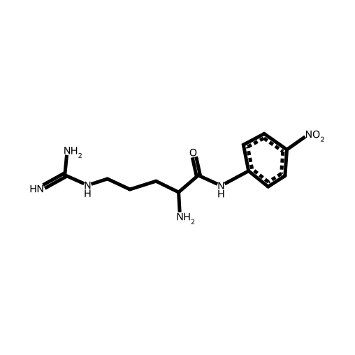 N=C(N)NCCCC(N)C(=O)Nc1ccc([N+](=O)[O-])cc1